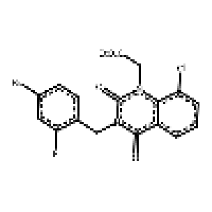 CCOC(=O)Cn1c(=O)n(Cc2ccc(Br)cc2F)c(=O)c2cccc(Cl)c21